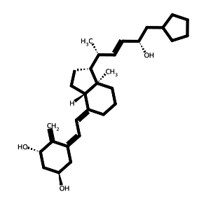 C=C1/C(=C\C=C2CCC[C@]3(C)[C@@H]([C@H](C)C=C[C@@H](O)CC4CCCC4)CC[C@@H]23)C[C@@H](O)C[C@@H]1O